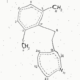 Cc1cccc(C)c1Cc1cccnc1